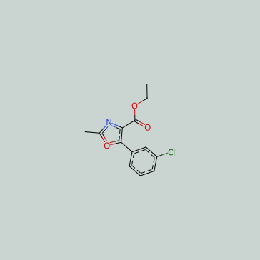 CCOC(=O)c1nc(C)oc1-c1cccc(Cl)c1